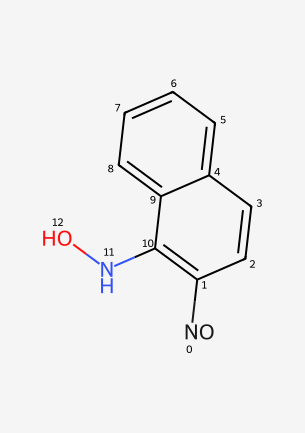 O=Nc1ccc2ccccc2c1NO